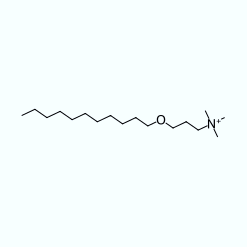 CCCCCCCCCCCOCCC[N+](C)(C)C